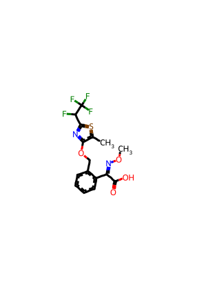 CON=C(C(=O)O)c1ccccc1COc1nc(C(F)C(F)(F)F)sc1C